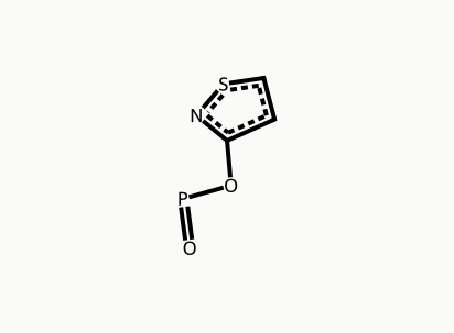 O=POc1ccsn1